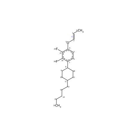 C/C=C/Oc1ccc(C2CCC(CCCCC)CC2)c(F)c1F